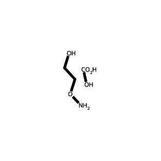 NOCCO.O=C(O)O